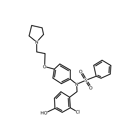 O=S(=O)(c1ccccc1)N(Cc1ccc(O)cc1Cl)c1ccc(OCCN2CCCC2)cc1